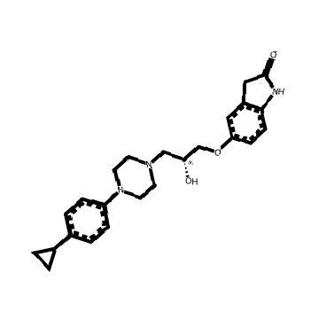 O=C1Cc2cc(OC[C@H](O)CN3CCN(c4ccc(C5CC5)cc4)CC3)ccc2N1